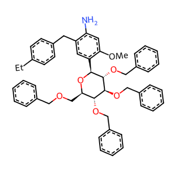 CCc1ccc(Cc2cc([C@@H]3O[C@H](COCc4ccccc4)[C@@H](OCc4ccccc4)[C@H](OCc4ccccc4)[C@H]3OCc3ccccc3)c(OC)cc2N)cc1